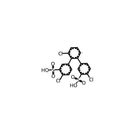 O=S(=O)(O)c1cc(-c2[c]ccc(Cl)c2-c2ccc(Cl)c(S(=O)(=O)O)c2)ccc1Cl